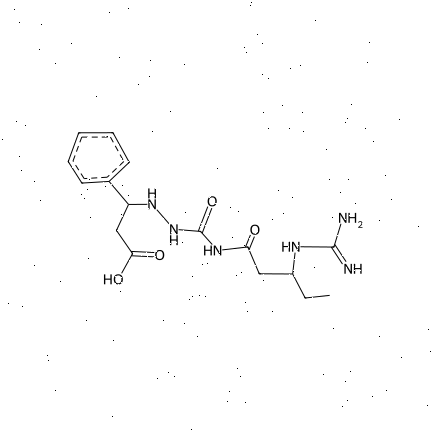 CCC(CC(=O)NC(=O)NNC(CC(=O)O)c1ccccc1)NC(=N)N